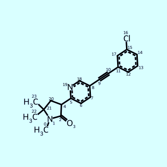 CN1C(=O)C(c2ccc(C#Cc3cccc(Cl)c3)cn2)CC1(C)C